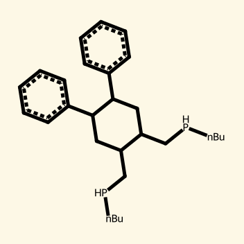 CCCCPCC1CC(c2ccccc2)C(c2ccccc2)CC1CPCCCC